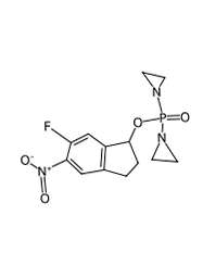 O=[N+]([O-])c1cc2c(cc1F)C(OP(=O)(N1CC1)N1CC1)CC2